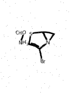 BrC1=CSC2CN12.NC=O